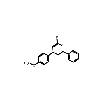 COc1ccc(C(C=C(F)F)CCc2ccccc2)cc1